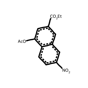 CCOC(=O)c1cc(OC(C)=O)c2ccc([N+](=O)[O-])cc2c1